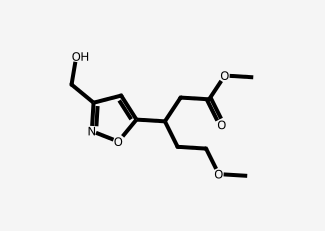 COCCC(CC(=O)OC)c1cc(CO)no1